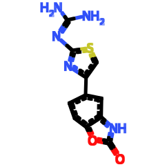 NC(N)=Nc1nc(-c2ccc3oc(=O)[nH]c3c2)cs1